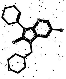 O=c1n(CC2CCOCC2)c2cc(Br)cnc2n1C1=CCCCC1